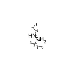 CC=C(C)[SiH2]NCCC